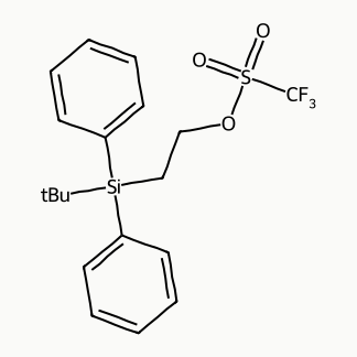 CC(C)(C)[Si](CCOS(=O)(=O)C(F)(F)F)(c1ccccc1)c1ccccc1